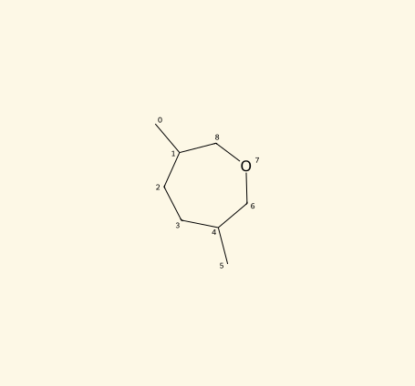 CC1CCC(C)COC1